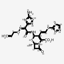 C=CCO/N=C(\C(=O)NC1S[C@@H]2CC(=O)N2C(C(=O)O)=C1/C=C/Sc1nncs1)c1nsc(N)n1